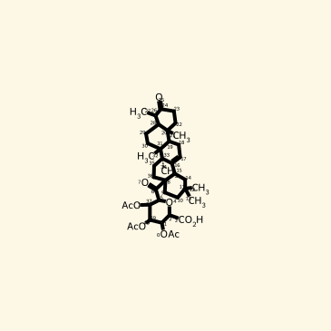 CC(=O)OC1C(C(=O)O)OC(C(=O)C23CCC(C)(C)CC2C2=CCC4C5(C)CCC(=O)C(C)C5CCC4(C)[C@]2(C)CC3)C(OC(C)=O)C1OC(C)=O